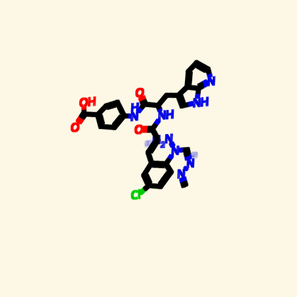 C=N/N=C\N(N)c1ccc(Cl)cc1/C=C/C(=O)NC(Cc1c[nH]c2ncccc12)C(=O)Nc1ccc(C(=O)O)cc1